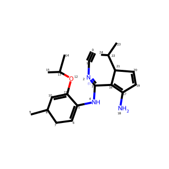 C#C/N=C(/NC1=CCC(C)C=C1OC(C)C)C1=C(N)C=CC1C(C)C